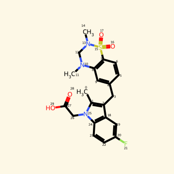 Cc1c(Cc2ccc3c(c2)N(C)CN(C)S3(=O)=O)c2cc(F)ccc2n1CC(=O)O